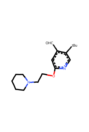 CC(C)(C)c1cnc(OCCN2CCCCC2)cc1C=O